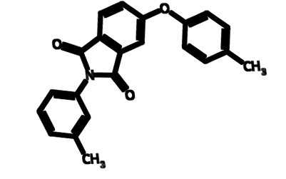 Cc1ccc(Oc2ccc3c(c2)C(=O)N(c2cccc(C)c2)C3=O)cc1